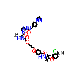 CC(C)(C)[C@H](NC(=O)COCCCCOc1ccc(C(=O)N[C@H]2C(C)(C)[C@H](Oc3ccc(C#N)c(Cl)c3)C2(C)C)cc1)C(=O)N1CCC[C@H]1C(=O)NCc1ccc(-n2cccn2)cc1